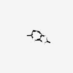 Cc1ccc2c(n1)=NC(=O)N=2